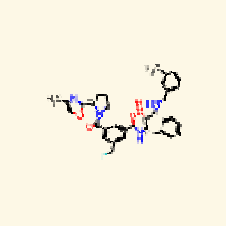 Cc1coc([C@H]2CCCN2C(=O)c2cc(CF)cc(C(=O)N[C@@H](Cc3ccccc3)[C@H](O)CNCc3cccc(C(F)(F)F)c3)c2)n1